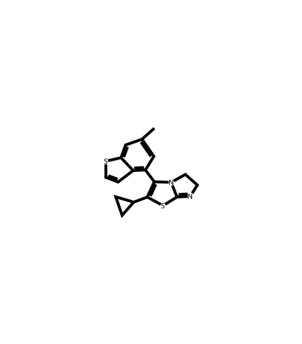 Cc1cc(C2=C(C3CC3)SC3=NCCN32)c2ccsc2c1